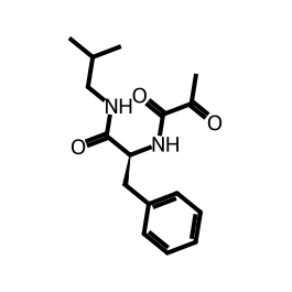 CC(=O)C(=O)N[C@@H](Cc1ccccc1)C(=O)NCC(C)C